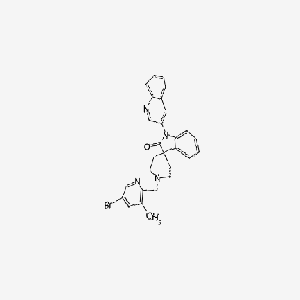 Cc1cc(Br)cnc1CN1CCC2(CC1)C(=O)N(c1cnc3ccccc3c1)c1ccccc12